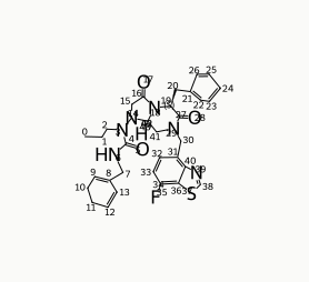 CCCN(C(=O)NCC1=CCCC=C1)N1CC(=O)N2[C@@H](Cc3ccccc3)C(=O)N(Cc3ccc(F)c4scnc34)C[C@@H]21